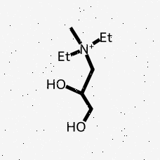 CC[N+](C)(CC)CC(O)CO